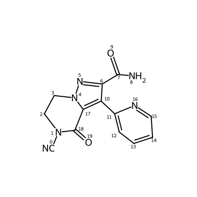 N#CN1CCn2nc(C(N)=O)c(-c3ccccn3)c2C1=O